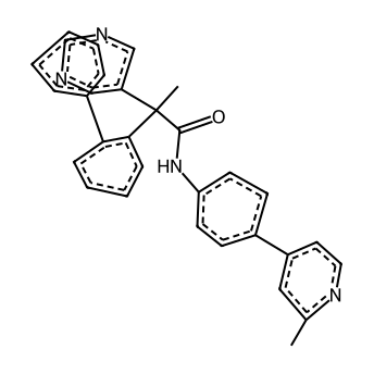 Cc1cc(-c2ccc(NC(=O)C(C)(c3cncnc3)c3ccccc3-c3ccccc3)cc2)ccn1